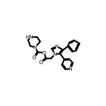 O=C(Cn1cnc(-c2ccccc2)c1-c1ccncc1)OC(=O)N1CCNCC1